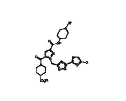 CCOC(=O)C1CCN(C(=O)c2cc(C(=O)NC3CCN(C(C)C)CC3)nn2Cc2cc(-c3ccc(Cl)s3)on2)CC1